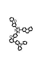 c1ccc(-n2c3ccccc3c3cc(-c4cccc5oc6cc(-c7nc(-c8ccc9c(ccc%10ccccc%109)c8)nc(-c8ccc9c(c8)oc8ccccc89)n7)ccc6c45)ccc32)cc1